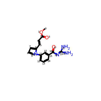 COC(=O)C=Cc1cccn1-c1cccc(C(=O)N=C(N)N)c1